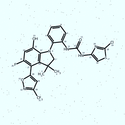 CC1(C)CN(c2ccccc2NC(=O)Nc2csc(Cl)n2)c2c(O)cc(F)c(-c3cc(C(F)(F)F)no3)c21